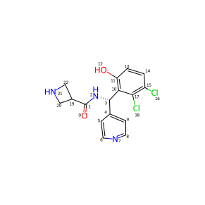 O=C(N[C@@H](c1ccncc1)c1c(O)ccc(Cl)c1Cl)C1CNC1